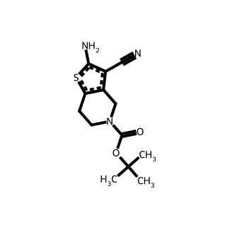 CC(C)(C)OC(=O)N1CCc2sc(N)c(C#N)c2C1